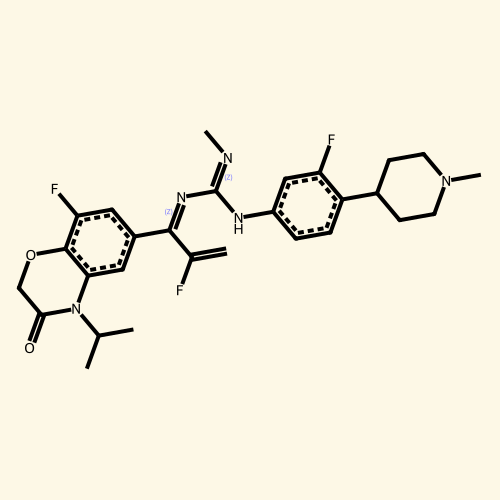 C=C(F)/C(=N\C(=N/C)Nc1ccc(C2CCN(C)CC2)c(F)c1)c1cc(F)c2c(c1)N(C(C)C)C(=O)CO2